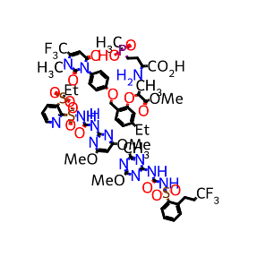 CCS(=O)(=O)c1cccnc1S(=O)(=O)NC(=O)Nc1nc(OC)cc(OC)n1.CCc1ccc(COc2ccc(-n3c(=O)cc(C(F)(F)F)n(C)c3=O)cc2)c(OC(C)C(=O)OC)c1.COc1nc(C)nc(NC(=O)NS(=O)(=O)c2ccccc2CCC(F)(F)F)n1.CP(=O)(O)CCC(N)C(=O)O